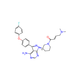 CN(C)CC=CC(=O)N1CCC[C@@H](n2nc(-c3ccc(Oc4ccc(F)cc4)cc3)c3c(N)ncnc32)C1